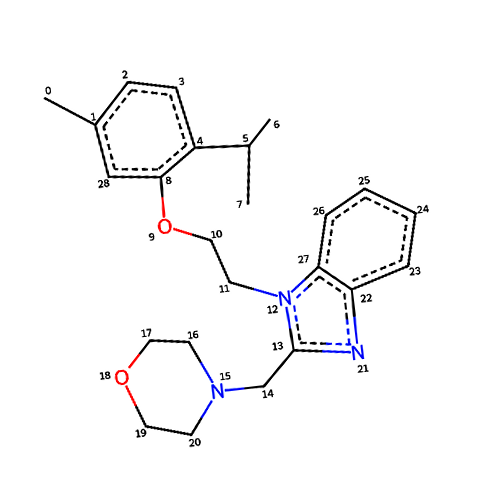 Cc1ccc(C(C)C)c(OCCn2c(CN3CCOCC3)nc3ccccc32)c1